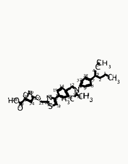 CCCC(CCC)c1ccc(N(Cc2ccc(-c3csc(COc4cc(C(=O)O)on4)n3)cc2)C(C)C)cc1